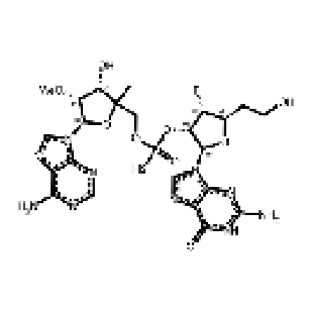 CO[C@H]1[C@H](n2cnc3c(N)ncnc32)OC(C)(COP(=O)(S)O[C@@H]2[C@H](F)[C@@H](CCO)O[C@H]2n2cnc3c(=O)[nH]c(N)nc32)[C@H]1O